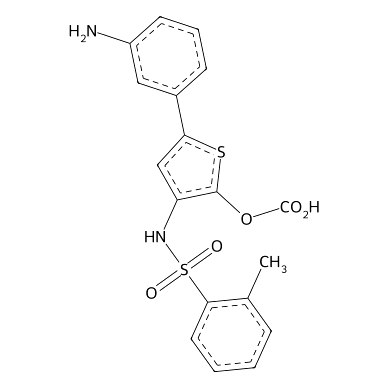 Cc1ccccc1S(=O)(=O)Nc1cc(-c2cccc(N)c2)sc1OC(=O)O